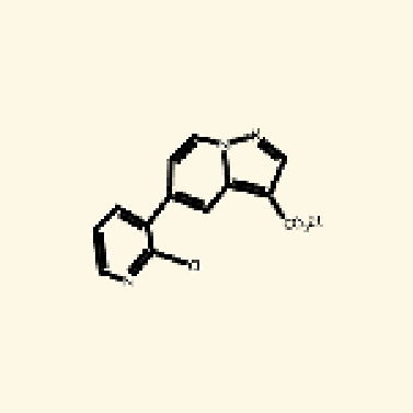 CCOC(=O)c1cnn2ccc(-c3cccnc3Cl)cc12